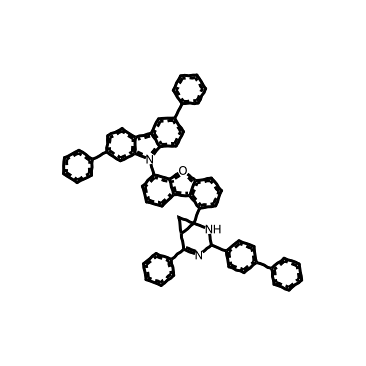 c1ccc(C2=NC(c3ccc(-c4ccccc4)cc3)NC3(c4cccc5oc6c(-n7c8ccc(-c9ccccc9)cc8c8ccc(-c9ccccc9)cc87)cccc6c45)CC23)cc1